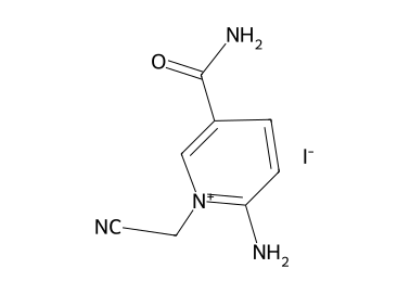 N#CC[n+]1cc(C(N)=O)ccc1N.[I-]